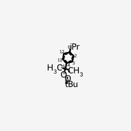 CC(C)c1ccc(C(C)(C)OOC(C)(C)C)cc1